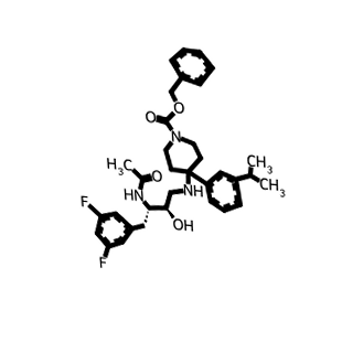 CC(=O)N[C@@H](Cc1cc(F)cc(F)c1)[C@H](O)CNC1(c2cccc(C(C)C)c2)CCN(C(=O)OCc2ccccc2)CC1